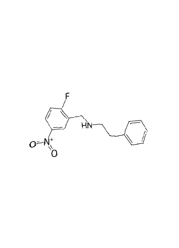 O=[N+]([O-])c1ccc(F)c(CNCCc2ccccc2)c1